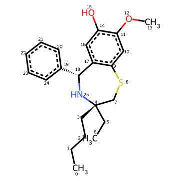 CCCC[C@]1(CC)CSc2cc(OC)c(O)cc2[C@@H](c2ccccc2)N1